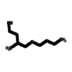 CCCCOCC(C)CCO